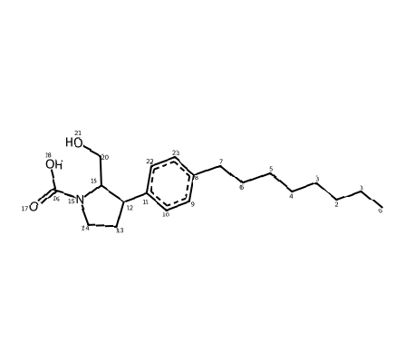 CCCCCCCCc1ccc(C2CCN(C(=O)O)C2CO)cc1